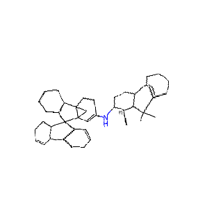 C[C@H]1C(NC2=CC34CC3(CC2)C2CCCCC2C42C3C=CCCC3C3C=CCCC32)CCC2C3=C(CCCC3)C(C)(C)C21